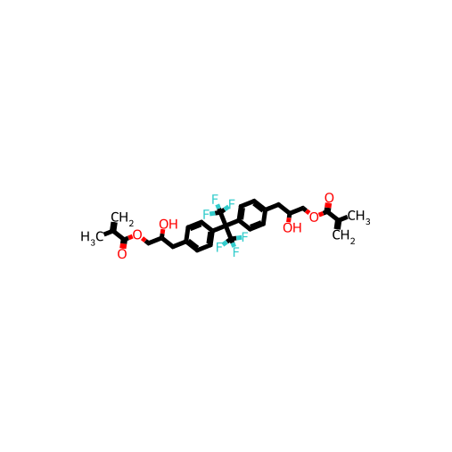 C=C(C)C(=O)OCC(O)Cc1ccc(C(c2ccc(CC(O)COC(=O)C(=C)C)cc2)(C(F)(F)F)C(F)(F)F)cc1